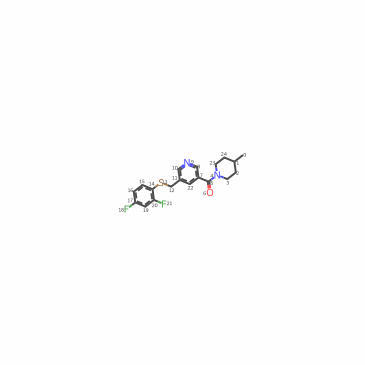 CC1CCN(C(=O)c2cncc(CSc3ccc(F)cc3F)c2)CC1